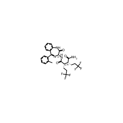 Cc1ccccc1C1=N[C@H](NC(=O)[C@@H](CCC(F)(F)F)[C@@H](CCC(F)(F)F)C(N)=O)C(=O)Nc2ccccc21